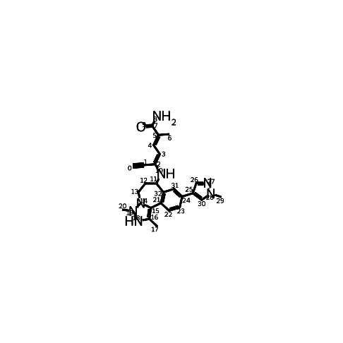 C#C/C(=C\C=C(/C)C(N)=O)NC1CCN2C(=C(C)NN2C)c2ccc(-c3cnn(C)c3)cc21